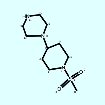 CS(=O)(=O)N1CCC(N2CCNCC2)CC1